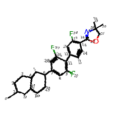 CC1CCC2CC(c3cc(F)c(-c4ccc(C5=NC(C)(C)CO5)c(F)c4)c(F)c3)CCC2C1